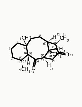 C[C@@H]1CCC[C@@]2(C)CC[C@H]3[C@H](C)C(=O)C[C@@H](C(=O)[C@H]12)C3(C)C